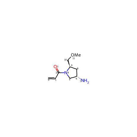 C=CC(=O)N1C[C@@H](N)C[C@@H]1COC